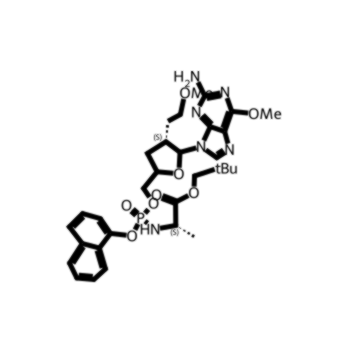 COCC[C@H]1CC(COP(=O)(N[C@@H](C)C(=O)OCC(C)(C)C)Oc2cccc3ccccc23)OC1n1cnc2c(OC)nc(N)nc21